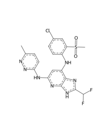 Cc1ccc(Nc2cc(Nc3ccc(Cl)cc3S(C)(=O)=O)c3nc(C(F)F)[nH]c3n2)nn1